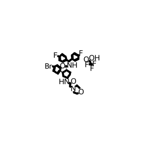 O=C(CN1CCOCC1)N[C@@H]1CC[C@@H](C(=O)NC(c2ccc(F)cc2)c2ccc(F)cc2)[C@H](c2ccc(Br)cc2)C1.O=C(O)C(F)(F)F